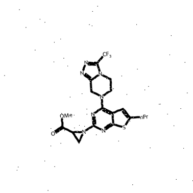 CCCc1cc2c(N3CCn4c(nnc4C(F)(F)F)C3)nc(N3CC3C(=O)OC)nc2s1